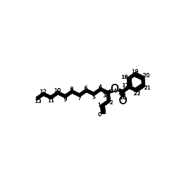 C=CCC(CCCCCCCCCC)OC(=O)c1ccccc1